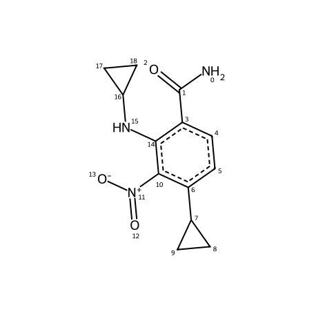 NC(=O)c1ccc(C2CC2)c([N+](=O)[O-])c1NC1CC1